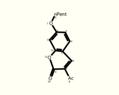 CCCCCOc1ccc2cc(C(C)=O)c(=O)oc2c1